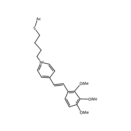 COc1ccc(/C=C/c2cc[n+](CCCCSC(C)=O)cc2)c(OC)c1OC